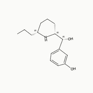 CCC[C@@H]1CCC[C@H]([C@H](O)c2cccc(O)c2)N1